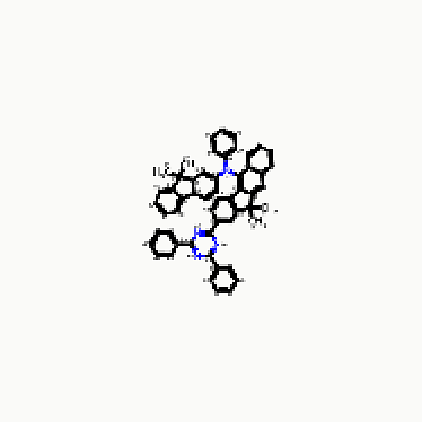 CC1(C)C2=CC3C=CC=CC3C(N(C3=CC4C(C=C3)c3ccccc3C4(C)C)c3ccccc3)=C2c2ccc(-c3nc(-c4ccccc4)nc(-c4ccccc4)n3)cc21